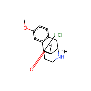 COc1ccc2c(c1)[C@]13CCN[C@H](C2)[C@@H]1CCC(=O)C3.Cl